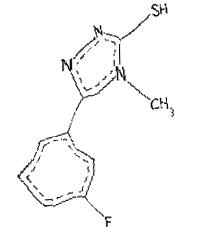 Cn1c(S)nnc1-c1cccc(F)c1